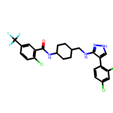 O=C(NC1CCC(CNc2n[nH]cc2-c2ccc(Cl)cc2Cl)CC1)c1cc(C(F)(F)F)ccc1Cl